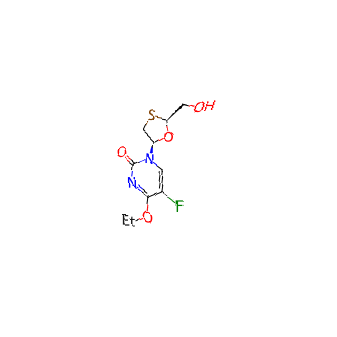 CCOc1nc(=O)n([C@H]2CS[C@@H](CO)O2)cc1F